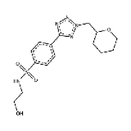 O=S(=O)(NCCO)c1ccc(-c2nnn(CC3CCCCO3)n2)cc1